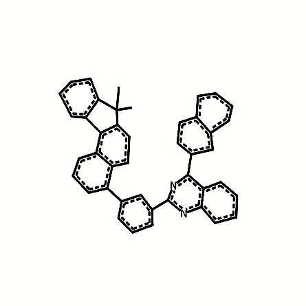 CC1(C)c2ccccc2-c2c1ccc1c(-c3cccc(-c4nc(-c5ccc6ccccc6c5)c5ccccc5n4)c3)cccc21